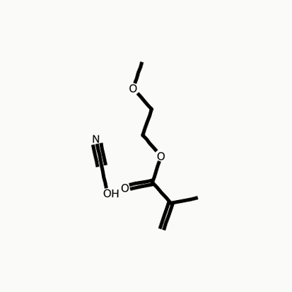 C=C(C)C(=O)OCCOC.N#CO